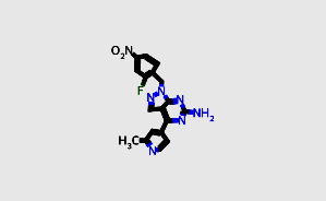 Cc1cc(-c2nc(N)nc3c2cnn3Cc2ccc([N+](=O)[O-])cc2F)ccn1